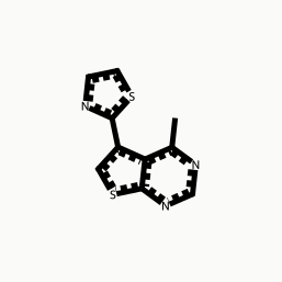 Cc1ncnc2scc(-c3nccs3)c12